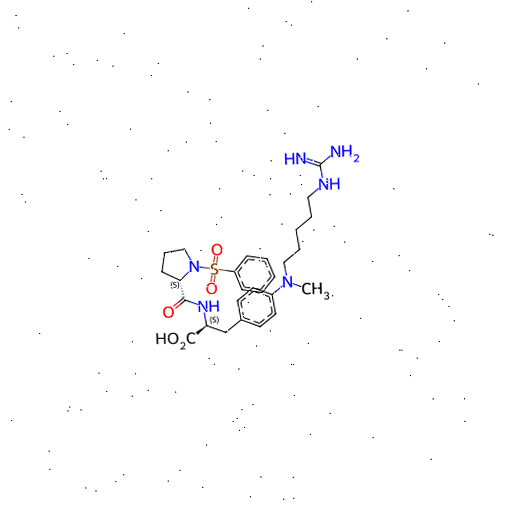 CN(CCCCCNC(=N)N)c1ccc(C[C@H](NC(=O)[C@@H]2CCCN2S(=O)(=O)c2ccccc2)C(=O)O)cc1